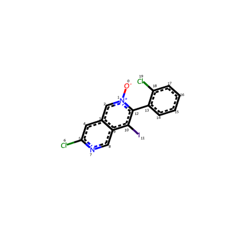 [O-][n+]1cc2cc(Cl)ncc2c(I)c1-c1ccccc1Cl